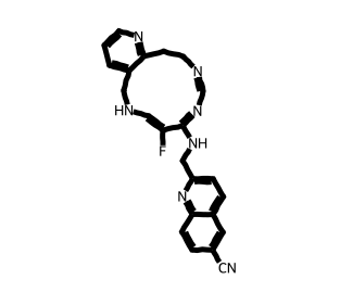 N#Cc1ccc2nc(CNC3=N/C=N\CCc4ncccc4CN\C=C\3F)ccc2c1